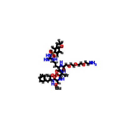 CNC(=O)C(Cc1ccccc1)NC(=O)C(COC(C)(C)C)NC(=O)C(NC(=O)C(CCCNC(=N)NS(=O)(=O)c1c(C)c(C)c2c(c1C)CC(C)(C)O2)NC(=O)COCCOCCOCCN)C(C)C